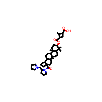 CC1C(C(=O)O)CC1C(=O)OC1CCC2(C)C(CCC3(C)C4CCC5(C(=O)N6CCCC6CN6CCCC6)CCCC5C4CCC32)C1(C)C